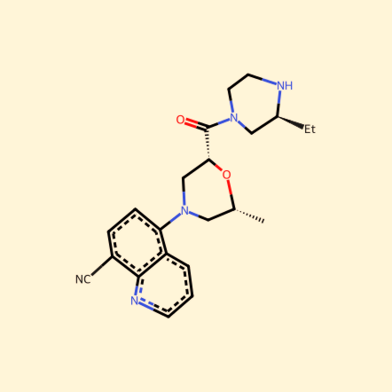 CC[C@H]1CN(C(=O)[C@H]2CN(c3ccc(C#N)c4ncccc34)C[C@@H](C)O2)CCN1